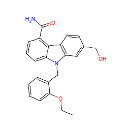 CCOc1ccccc1Cn1c2cc(CO)c[c]c2c2c(C(N)=O)cccc21